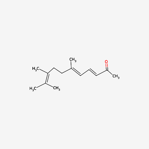 CC(=O)/C=C/C=C(\C)CCC(C)=C(C)C